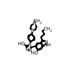 CCCCc1n[nH]c2cc(O)c(-c3nnc(O)n3-c3ccc(N4CCN(C)CC4)cc3)cc12